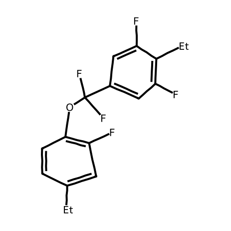 CCc1ccc(OC(F)(F)c2cc(F)c(CC)c(F)c2)c(F)c1